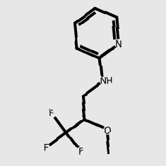 COC(CNc1ccccn1)C(F)(F)F